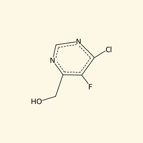 OCc1ncnc(Cl)c1F